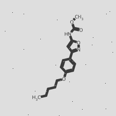 CCCCCOc1ccc(-c2cc(NC(=O)OC)on2)cc1